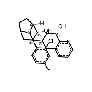 O[C@@H]1[C@@H](c2ccc(F)cc2Cl)CC2CC[C@@H]1N2C[C@@H]1Cc2cccnc2[C@@H](O)C1